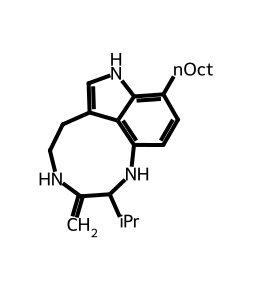 C=C1NCCc2c[nH]c3c(CCCCCCCC)ccc(c23)NC1C(C)C